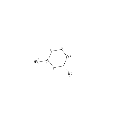 CC[C@@H]1CN(C(C)(C)C)CCO1